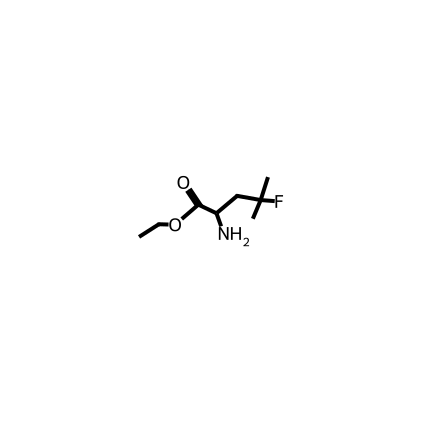 CCOC(=O)C(N)CC(C)(C)F